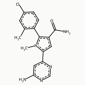 Cc1cc(Cl)ccc1-c1c(C(N)=O)cc(-c2cc(N)ncn2)n1C